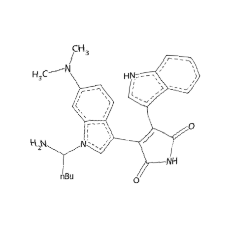 CCCCC(N)n1cc(C2=C(c3c[nH]c4ccccc34)C(=O)NC2=O)c2ccc(N(C)C)cc21